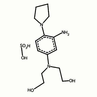 Nc1cc(N(CCO)CCO)ccc1N1CCCC1.O=S(=O)(O)O